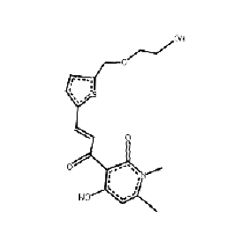 Cc1cc(O)c(C(=O)/C=C/c2ccc(COCCO)s2)c(=O)n1C